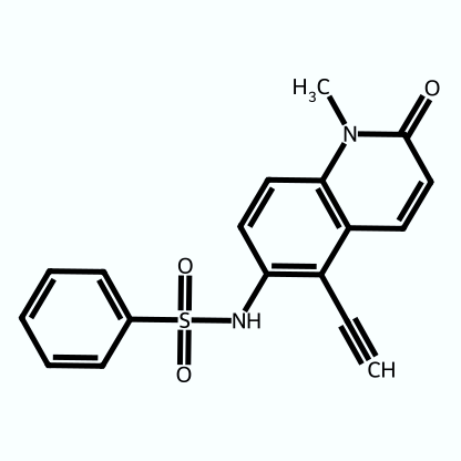 C#Cc1c(NS(=O)(=O)c2ccccc2)ccc2c1ccc(=O)n2C